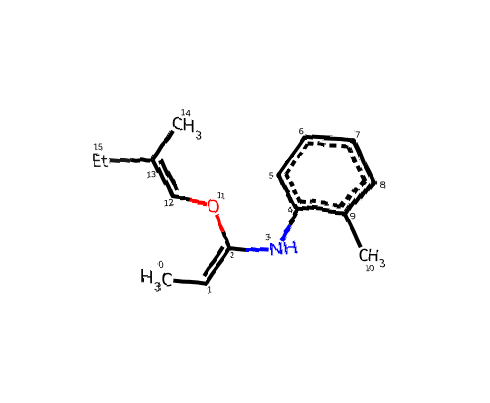 C/C=C(/Nc1ccccc1C)O/C=C(\C)CC